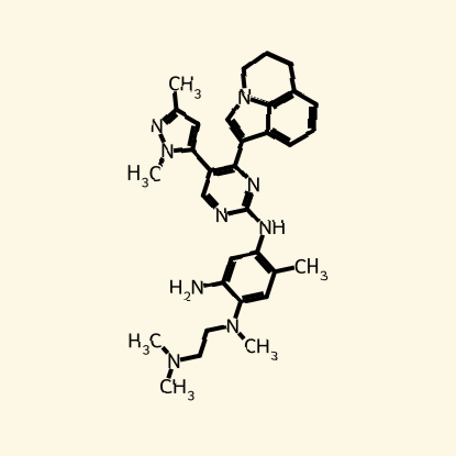 Cc1cc(-c2cnc(Nc3cc(N)c(N(C)CCN(C)C)cc3C)nc2-c2cn3c4c(cccc24)CCC3)n(C)n1